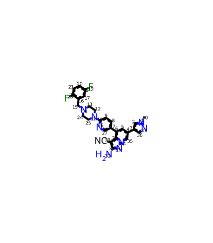 Cn1cc(-c2cc(-c3ccc(N4CCN(Cc5cc(F)ccc5F)CC4)nc3)c3c(C#N)c(N)nn3c2)cn1